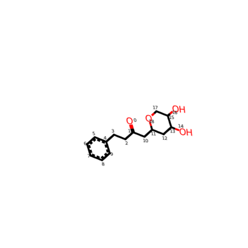 O=C(CCc1ccccc1)CC1CC(O)C(O)CO1